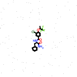 CC(Oc1ccc(C(=O)NC(Cc2ccccc2)C(N)=O)cc1Cl)C(F)(F)F